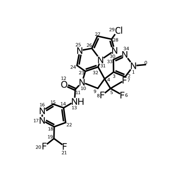 Cn1cc(C2(C(F)(F)F)CN(C(=O)Nc3cnnc(C(F)F)c3)c3cnc4cc(Cl)nn4c32)cn1